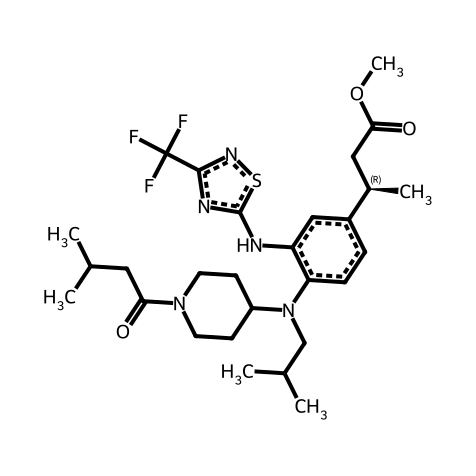 COC(=O)C[C@@H](C)c1ccc(N(CC(C)C)C2CCN(C(=O)CC(C)C)CC2)c(Nc2nc(C(F)(F)F)ns2)c1